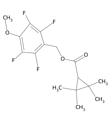 COc1c(F)c(F)c(COC(=O)C2C(C)(C)C2(C)C)c(F)c1F